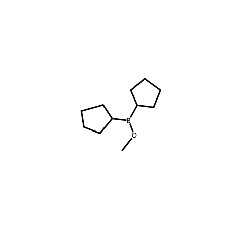 COB(C1CCCC1)C1CCCC1